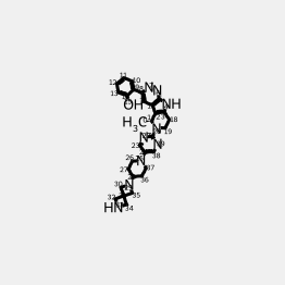 C[C@@H]1c2c([nH]c3nnc(-c4ccccc4O)cc23)CCN1c1ncc(N2CCC(N3CC4(CNC4)C3)CC2)cn1